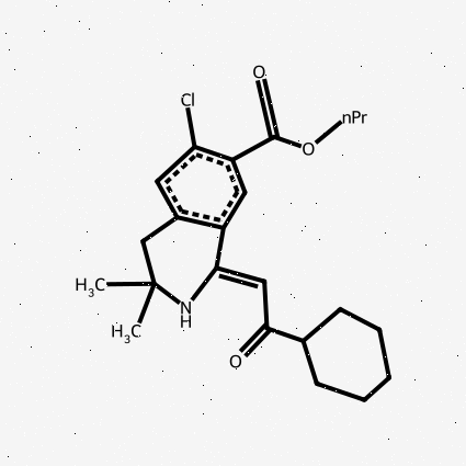 CCCOC(=O)c1cc2c(cc1Cl)CC(C)(C)N/C2=C\C(=O)C1CCCCC1